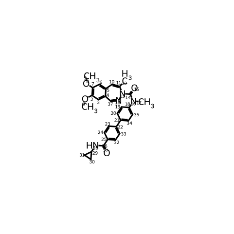 COc1cc2c(cc1OC)C=C(C)N(C(=O)N(C)c1ccc(-c3ccc(C(=O)NC4CC4)cc3)cc1)N=C2